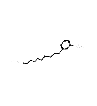 CCCCCCCCCCCCCCC[CH]CCCc1cccc(OC)c1